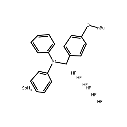 CCCCOc1ccc(C[S+](c2ccccc2)c2ccccc2)cc1.F.F.F.F.F.F.[SbH3]